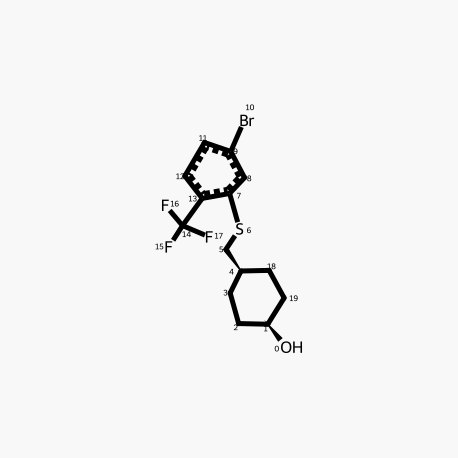 O[C@H]1CC[C@@H](CSc2cc(Br)ccc2C(F)(F)F)CC1